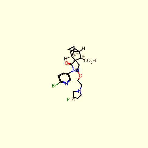 O=C(O)[C@@H]1[C@H]2CC[C@@H](C23CC3)[C@@]1(CCOCCN1CC[C@H](F)C1)C(=O)Nc1ccc(Br)nc1